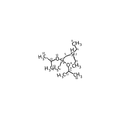 CC[SiH](CC)C[Si](C)(OC(C)C)OC(C)C